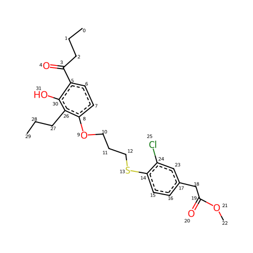 CCCC(=O)c1ccc(OCCCSc2ccc(CC(=O)OC)cc2Cl)c(CCC)c1O